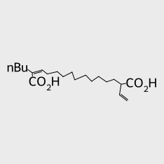 C=CC(CCCCCCCCCCC=C(CCCC)C(=O)O)C(=O)O